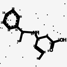 CC=CC(CC(=O)O)NC(C)c1ccccc1